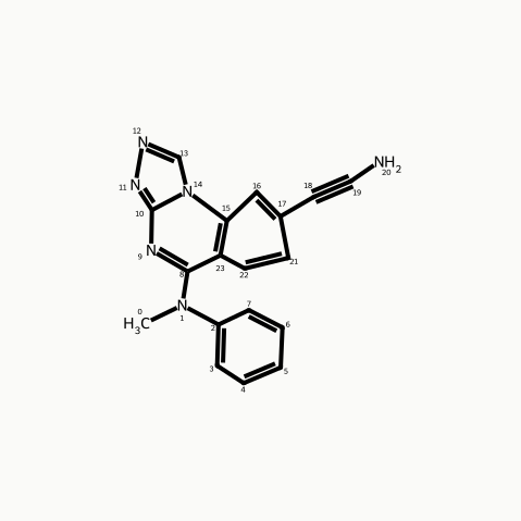 CN(c1ccccc1)c1nc2nncn2c2cc(C#CN)ccc12